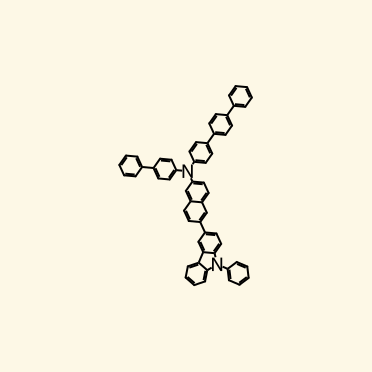 c1ccc(-c2ccc(-c3ccc(N(c4ccc(-c5ccccc5)cc4)c4ccc5cc(-c6ccc7c(c6)c6ccccc6n7-c6ccccc6)ccc5c4)cc3)cc2)cc1